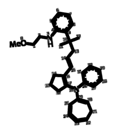 COCCNc1ccccc1C(C)(C)C/C=C/C1=C(N(C2=CCC=C=C=C2)c2ccccc2)CCC1